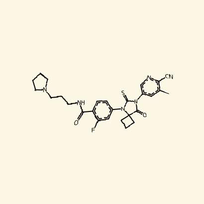 Cc1cc(N2C(=O)C3(CCC3)N(c3ccc(C(=O)NCCCN4CCCC4)c(F)c3)C2=S)cnc1C#N